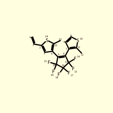 C=Cc1cc(C2=C(c3ccsc3C)C(F)(F)C(F)(F)C2(F)F)c(C)s1